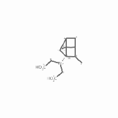 CC1C2CC3C[C@@]1(N(CC(=O)O)CC(=O)O)C32C